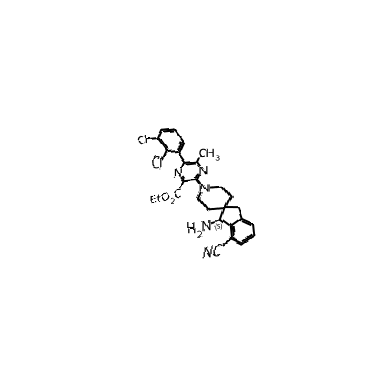 CCOC(=O)c1nc(-c2cccc(Cl)c2Cl)c(C)nc1N1CCC2(CC1)Cc1cccc(C#N)c1[C@H]2N